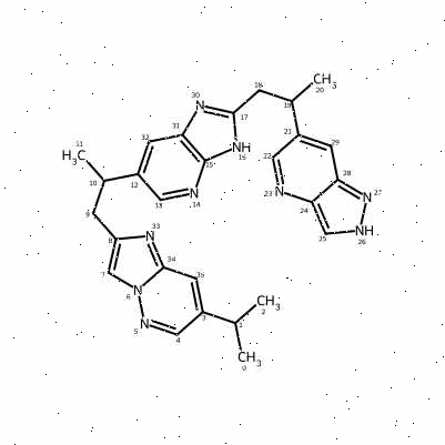 CC(C)c1cnn2cc(CC(C)c3cnc4[nH]c(CC(C)c5cnc6c[nH]nc6c5)nc4c3)nc2c1